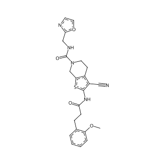 COc1ccccc1CCC(=O)Nc1sc2c(c1C#N)CCN(C(=O)NCc1ncco1)C2